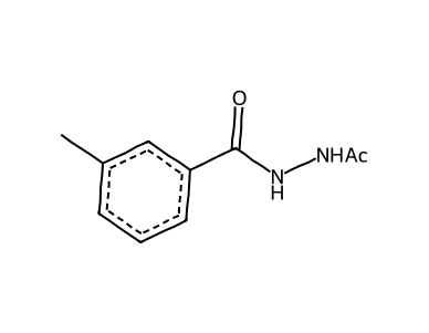 CC(=O)NNC(=O)c1cccc(C)c1